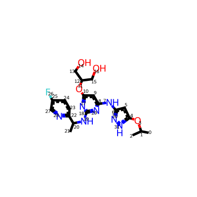 CC(C)Oc1cc(Nc2cc(OC(CO)CO)nc(NC(C)c3ccc(F)cn3)n2)n[nH]1